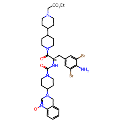 CCOC(=O)CN1CCC(C2CCN(C(=O)[C@@H](Cc3cc(Br)c(N)c(Br)c3)NC(=O)N3CCC(N4C=[N+]([O-])c5ccccc5C4)CC3)CC2)CC1